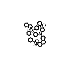 c1ccc(-c2nc3ccc4ccc5ccc(N(c6cccc(S(c7ccccc7)(c7ccccc7)c7ccc8ccccc8n7)c6)c6ccc7oc8ccccc8c7c6)cc5c4c3o2)cc1